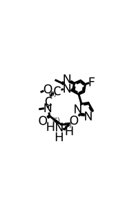 CO[C@H]1CN(C)C(=O)[C@@H]2C[C@@H](CN2)Oc2nccc(n2)-c2cc(F)cc3nc(C)n(c23)C1